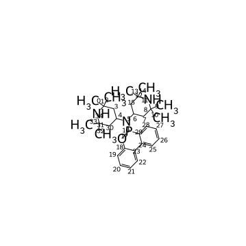 CC1(C)CC(N(C2CC(C)(C)NC(C)(C)C2)P2Oc3ccccc3-c3ccccc32)CC(C)(C)N1